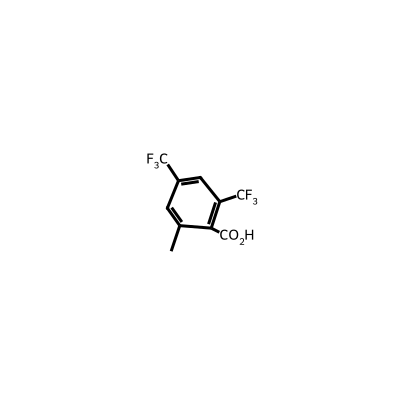 Cc1cc(C(F)(F)F)cc(C(F)(F)F)c1C(=O)O